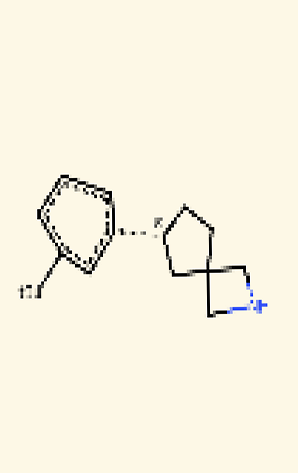 CC(C)(C)c1cccc([C@@H]2CCC3(CNC3)C2)c1